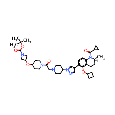 C[C@H]1CCc2c(ccc(-c3cnn(C4CCN(CC(=O)N5CCC(OC6CN(C(=O)OC(C)(C)C)C6)CC5)CC4)c3)c2OC2CCC2)N1C(=O)C1CC1